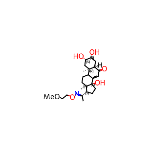 COCCON=C(C)[C@H]1CC[C@@]2(O)C3=CC(=O)[C@@H]4C[C@@H](O)[C@@H](O)C[C@]4(C)C3CC[C@]12C